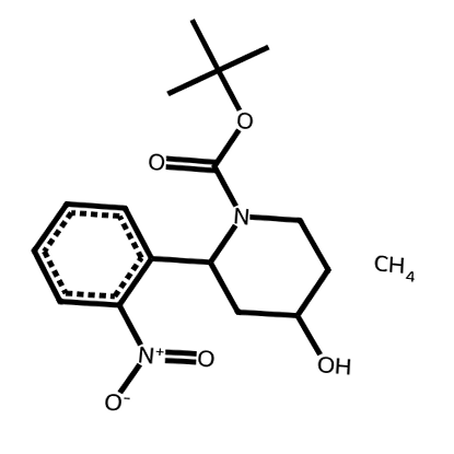 C.CC(C)(C)OC(=O)N1CCC(O)CC1c1ccccc1[N+](=O)[O-]